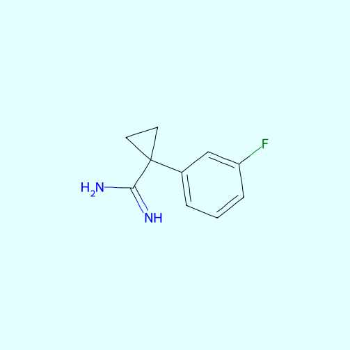 N=C(N)C1(c2cccc(F)c2)CC1